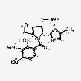 COC[C@H]1C[C@@](CC(C)C)(C(=O)O)N(C(=O)c2ccc(C(C)(C)C)c(OC)c2)[C@H]1c1ncc(C)s1